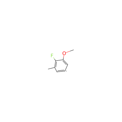 COc1c[c]cc(C)c1F